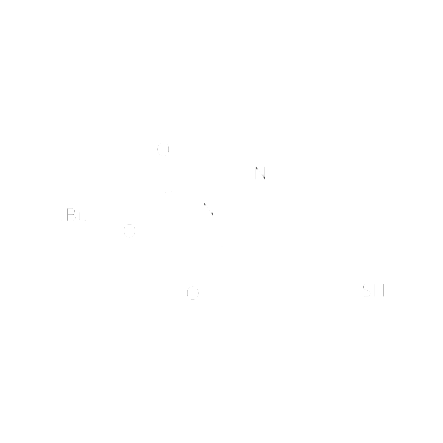 CC(C)(C)OC(=O)n1ncc(CS)cc1=O